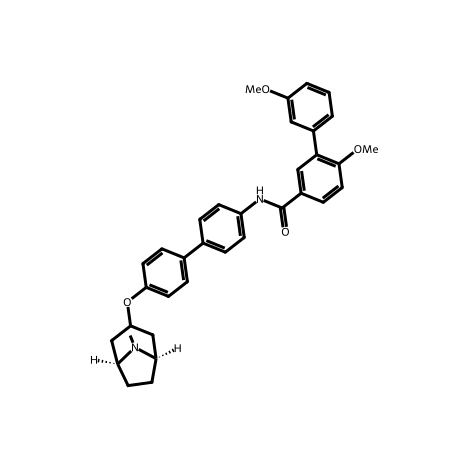 COc1cccc(-c2cc(C(=O)Nc3ccc(-c4ccc(OC5C[C@H]6CC[C@@H](C5)N6C)cc4)cc3)ccc2OC)c1